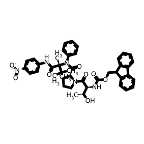 C[C@@H](O)[C@H](NC(=O)OCC1c2ccccc2-c2ccccc21)C(=O)N1CCC[C@H]1C(=O)N(c1ccccc1)[C@@](C)(C(=O)Nc1ccc([N+](=O)[O-])cc1)C(C)(C)C